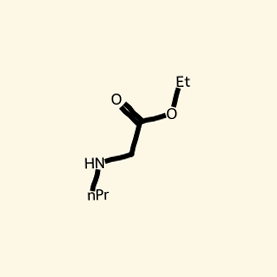 [CH2]COC(=O)CNCCC